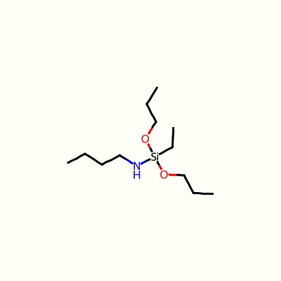 CCCCN[Si](CC)(OCCC)OCCC